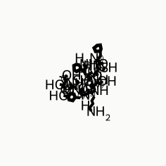 C[C@@H](O)[C@H](NC(=O)[C@H](CS)NC(=O)[C@H](Cc1ccc(O)cc1)NC(=O)[C@H](CCCCN)NC(=O)[C@@H](NC(=O)[C@@H](Cc1c[nH]c2ccccc12)NC(=O)[C@H](CS)NC(=O)[C@@H](N)Cc1ccccc1)[C@@H](C)O)C(=O)O